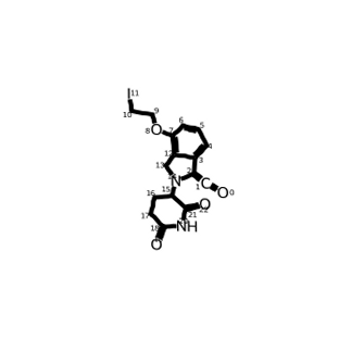 O=C=C1c2cccc(OCCI)c2CN1C1CCC(=O)NC1=O